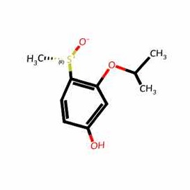 CC(C)Oc1cc(O)ccc1[S@+](C)[O-]